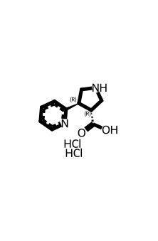 Cl.Cl.O=C(O)[C@H]1CNC[C@@H]1c1ccccn1